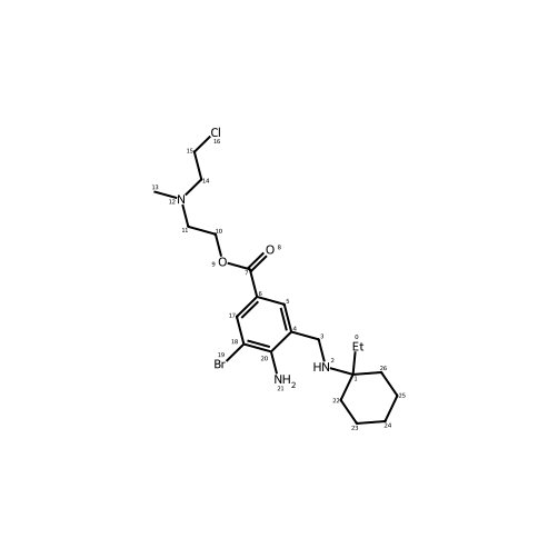 CCC1(NCc2cc(C(=O)OCCN(C)CCCl)cc(Br)c2N)CCCCC1